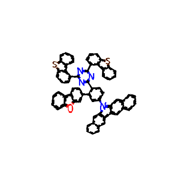 c1ccc2cc3c(cc2c1)c1cc2ccccc2cc1n3-c1ccc(-c2nc(-c3cccc4sc5ccccc5c34)nc(-c3cccc4sc5ccccc5c34)n2)c(-c2ccc3c(c2)oc2ccccc23)c1